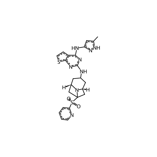 Cc1cc(Nc2nc(NC3C[C@@H]4CC5(S(=O)(=O)c6ccccn6)C[C@H](C3)N45)nc3sccc23)n[nH]1